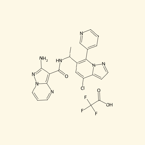 CC(NC(=O)c1c(N)nn2cccnc12)c1cc(Cl)c2ccnn2c1-c1cccnc1.O=C(O)C(F)(F)F